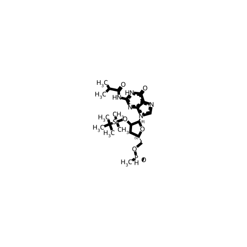 CC(C)C(=O)Nc1nc2c(ncn2[C@@H]2O[C@H](CO[PH](C)=O)CC2O[Si](C)(C)C(C)(C)C)c(=O)[nH]1